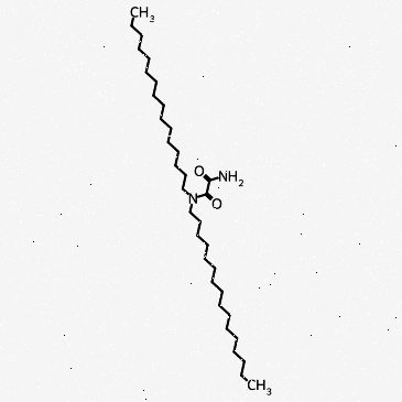 CCCCCCCCCCCCCCCCN(CCCCCCCCCCCCCCCC)C(=O)C(N)=O